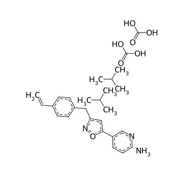 C=Cc1ccc(Cc2cc(-c3cccnc3)on2)cc1.CC(C)C.CC(C)C.N.O=C(O)O.O=C(O)O